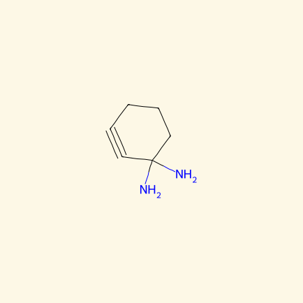 NC1(N)C#CCCC1